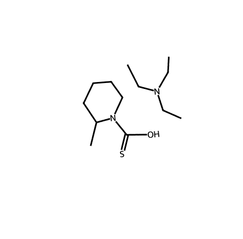 CC1CCCCN1C(O)=S.CCN(CC)CC